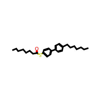 CCCCCCCC(=O)Sc1ccc(-c2ccc(CCCCCCC)cc2)cc1